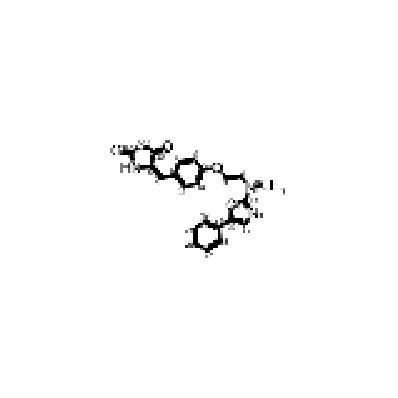 CN(CCOc1ccc(C=C2NC(=O)SC2=O)cc1)c1ncc(-c2ccccc2)o1